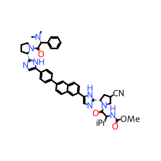 COC(=O)NC(C(=O)N1CC(C#N)C[C@H]1c1ncc(-c2ccc3cc(-c4ccc(-c5cnc([C@@H]6CCCN6C(=O)[C@@H](c6ccccc6)N(C)C)[nH]5)cc4)ccc3c2)[nH]1)C(C)C